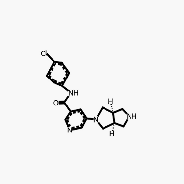 O=C(Nc1ccc(Cl)cc1)c1cncc(N2C[C@H]3CNC[C@H]3C2)c1